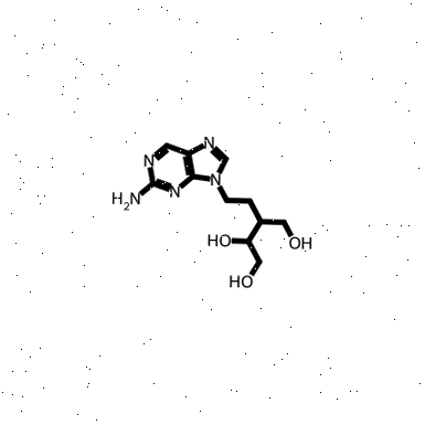 Nc1ncc2ncn(CCC(CO)C(O)CO)c2n1